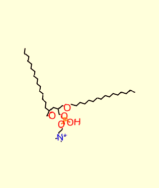 CCCCCCCCCCCCCCCCOCC(COP(O)OCC[N+](C)(C)C)CC1(CCCCCCCCCCCCCCCC)CO1